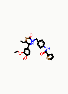 CCOc1cc(C2=NN(Cc3ccc(NC(=O)c4cccs4)cc3)C(=O)SC2CC)ccc1OC